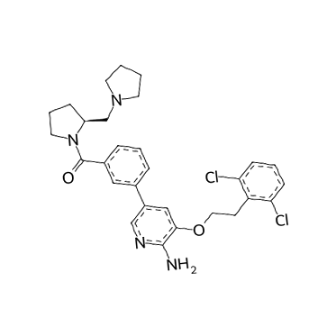 Nc1ncc(-c2cccc(C(=O)N3CCC[C@H]3CN3CCCC3)c2)cc1OCCc1c(Cl)cccc1Cl